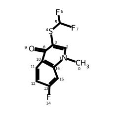 Cn1cc(SC(F)F)c(=O)c2ccc(F)cc21